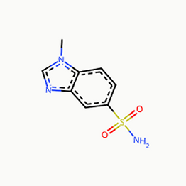 Cn1cnc2cc(S(N)(=O)=O)ccc21